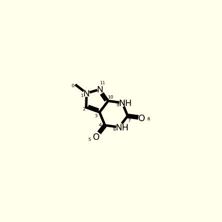 Cn1cc2c(=O)[nH]c(=O)[nH]c2n1